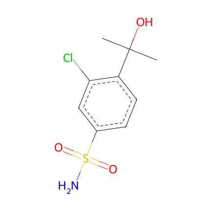 CC(C)(O)c1ccc(S(N)(=O)=O)cc1Cl